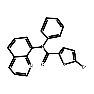 O=C(c1ccc(Br)s1)N(c1ccccc1)c1cccc2cccnc12